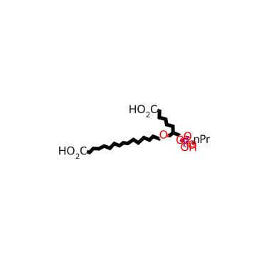 CCCOP(=O)(O)OCC(CCCCCC(=O)O)COCCCCCCCCCCCCCCCC(=O)O